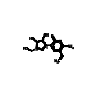 C=Cc1cn([C@@H]2O[C@H](CO)C(O)C2O)c(=O)nc1N